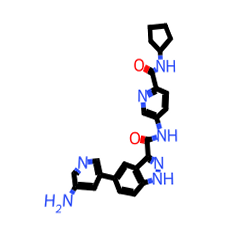 Nc1cncc(-c2ccc3[nH]nc(C(=O)Nc4ccc(C(=O)NC5CCCC5)nc4)c3c2)c1